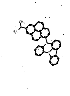 CC(C)c1cc2ccc3ccc(N4c5ccccc5B5c6ccccc6-c6cccc4c65)c4ccc(c1)c2c34